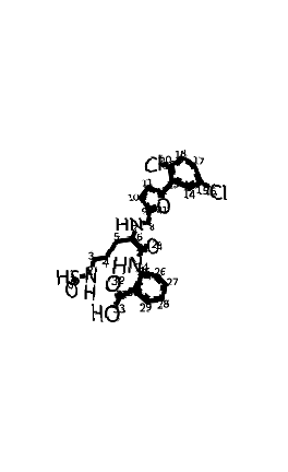 O=[SH]NCCCC(NCc1ccc(-c2cc(Cl)ccc2Cl)o1)C(=O)Nc1ccccc1C(=O)O